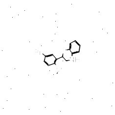 COc1ccc(Br)cc1C1CNc2ccccc2O1